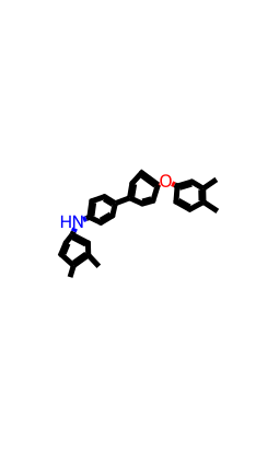 Cc1ccc(Nc2ccc(-c3ccc(Oc4ccc(C)c(C)c4)cc3)cc2)cc1C